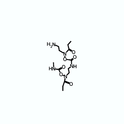 CCC(=O)N(CCNC(=O)ON(CCN)C(=O)CC)OC(=O)NC